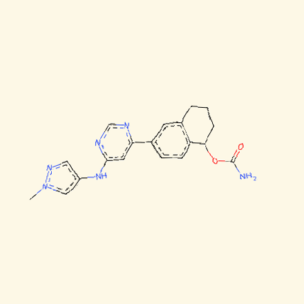 Cn1cc(Nc2cc(-c3ccc4c(c3)CCCC4OC(N)=O)ncn2)cn1